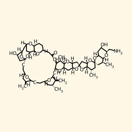 C=C1C[C@@H]2CC[C@]34C[C@@H](O)[C@H](O3)[C@H]3C[C@@H](O4)[C@H]4O[C@H](CC[C@@H]4O3)CC(=O)O[C@@H]3[C@@H](C)[C@@H]4O[C@@H]5C[C@]6(C[C@@H]7O[C@]8(C[C@H](C)[C@@H]9O[C@H](CN)[C@H](O)C[C@@H]9O8)C[C@H](C)[C@@H]7O6)O[C@@H]5C[C@@H]4O[C@H]3C[C@H]3O[C@@H](CC[C@@H]1O2)C[C@@H](C)C3=C